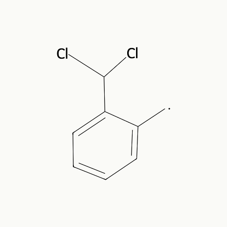 [CH2]c1ccccc1C(Cl)Cl